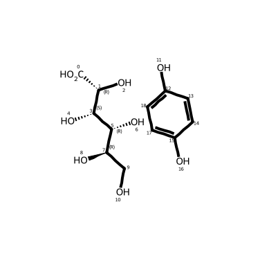 O=C(O)[C@H](O)[C@@H](O)[C@H](O)[C@H](O)CO.Oc1ccc(O)cc1